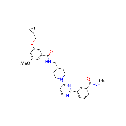 COc1cc(OCC2CC2)cc(C(=O)NCC2CCN(c3ccnc(-c4cccc(C(=O)NC(C)(C)C)c4)n3)CC2)c1